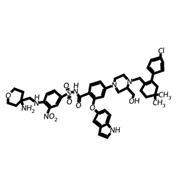 CC1(C)CCC(CN2CCN(c3ccc(C(=O)NS(=O)(=O)c4ccc(NCC5(N)CCOCC5)c([N+](=O)[O-])c4)c(Oc4ccc5[nH]ccc5c4)c3)CC2CO)=C(c2ccc(Cl)cc2)C1